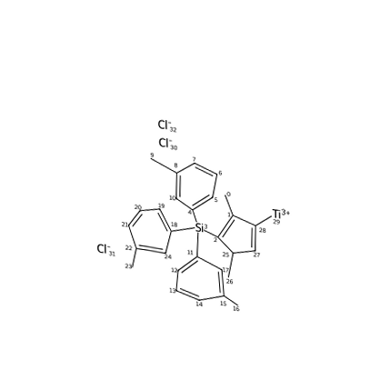 CC1=C([Si](c2cccc(C)c2)(c2cccc(C)c2)c2cccc(C)c2)C(C)C=[C]1[Ti+3].[Cl-].[Cl-].[Cl-]